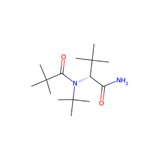 CC(C)(C)C(=O)N([C@@H](C(N)=O)C(C)(C)C)C(C)(C)C